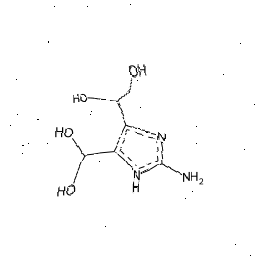 Nc1nc(C(O)O)c(C(O)O)[nH]1